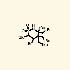 CC(C)(C)CC1(CC(C)(C)C)C(C(C)(C)C)C(C(C)(C)C)S(=O)(=O)NC1(CC(C)(C)C)C(C)(C)C